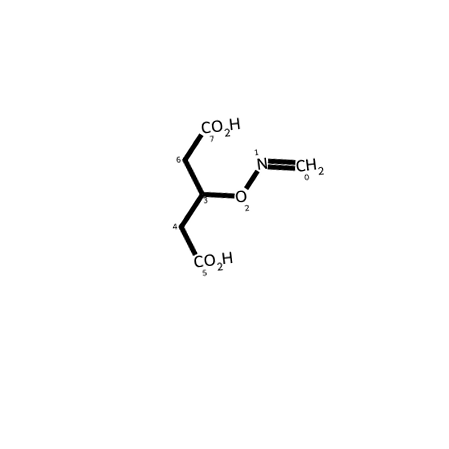 C=NOC(CC(=O)O)CC(=O)O